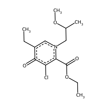 CCOC(=O)c1c(Cl)c(=O)c(CC)cn1CC(C)OC